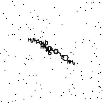 NC1CCCN(CCc2ccc(-n3ccc(NC(=O)N4CC5(CC(N)C5)C4)nc3=O)cc2)CC1